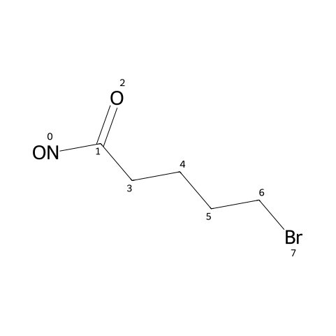 O=NC(=O)CCCCBr